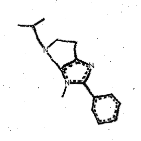 CC(C)CN1CCc2nc(-c3ccccc3)n(C)c2C1